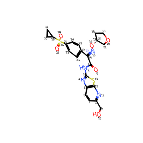 O=C(Nc1nc2ccc(CO)nc2s1)/C(=N/O[C@@H]1CCOC1)c1ccc(S(=O)(=O)C2CC2)cc1